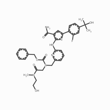 CN(CCO)C(=O)CN(Cc1cccc(Nc2sc(-c3ccc(C(C)(C)O)cc3F)cc2C(N)=O)n1)C(=O)OCc1ccccc1